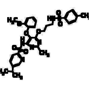 COc1ccccc1Oc1c(NS(=O)(=O)c2ccc(C(C)C)cn2)nc(C)nc1OCCCNS(=O)(=O)c1ccc(C)cc1